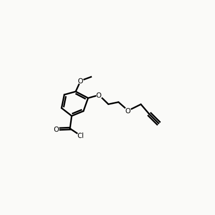 C#CCOCCOc1cc(C(=O)Cl)ccc1OC